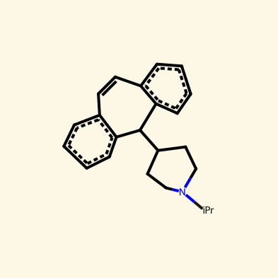 CC(C)N1CCC(C2c3ccccc3C=Cc3ccccc32)CC1